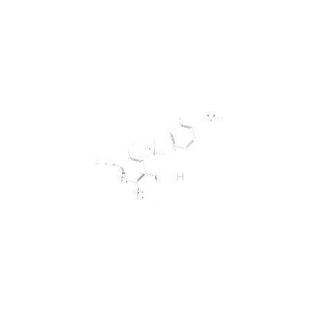 COc1ccc(CNc2c(F)c(C(F)(F)F)nc(N)c2C(=O)O)cc1